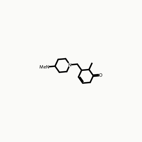 CNC1CCN(CC2C=CCC(=O)C2C)CC1